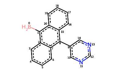 Bc1c2ccccc2c(-c2cncnc2)c2ccccc12